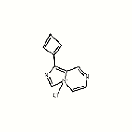 Cl[N+]12C=CN=CC1=C(C1=CC=C1)N=C2